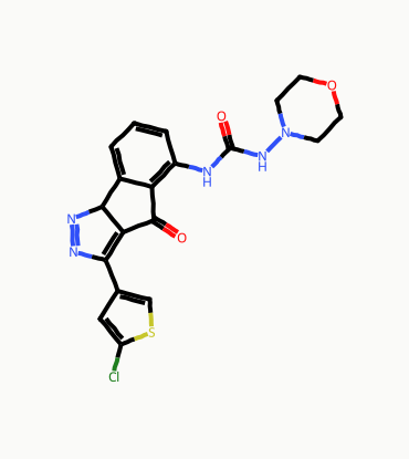 O=C(Nc1cccc2c1C(=O)C1=C(c3csc(Cl)c3)N=NC12)NN1CCOCC1